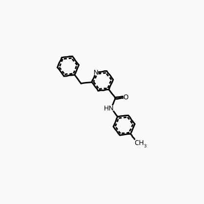 Cc1ccc(NC(=O)c2ccnc(Cc3ccccc3)c2)cc1